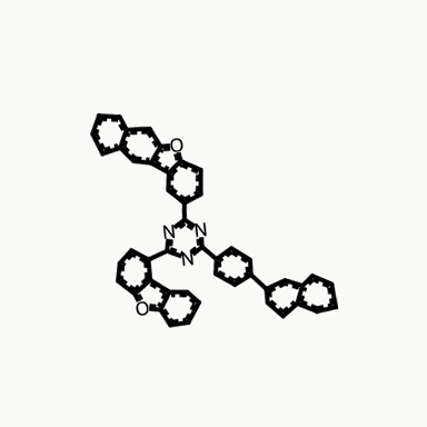 c1ccc2cc(-c3ccc(-c4nc(-c5ccc6oc7cc8ccccc8cc7c6c5)nc(-c5cccc6oc7ccccc7c56)n4)cc3)ccc2c1